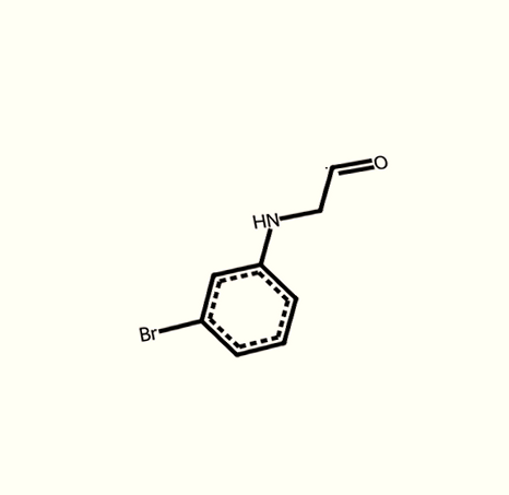 O=[C]CNc1cccc(Br)c1